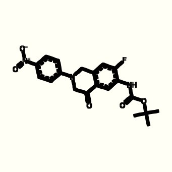 CC(C)(C)OC(=O)Nc1cc2c(cc1F)CN(c1ccc([N+](=O)[O-])cc1)CC2=O